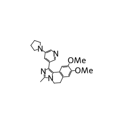 COc1cc2c(cc1OC)-c1c(-c3cncc(N4CCCC4)c3)nc(C)n1CC2